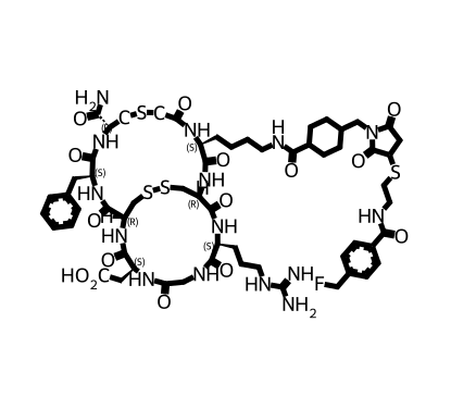 N=C(N)NCCC[C@@H]1NC(=O)[C@@H]2CSSC[C@H](NC(=O)[C@H](CC(=O)O)NC(=O)CNC1=O)C(=O)N[C@@H](Cc1ccccc1)C(=O)N[C@H](C(N)=O)CSCC(=O)N[C@@H](CCCCNC(=O)C1CCC(CN3C(=O)CC(SCCNC(=O)c4ccc(CF)cc4)C3=O)CC1)C(=O)N2